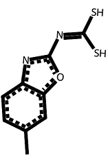 Cc1ccc2nc(N=C(S)S)oc2c1